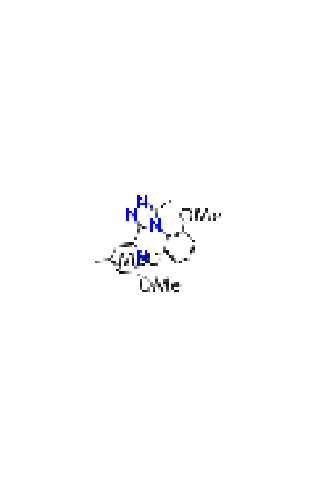 COc1cc(C)cc(-c2nnc(C)n2-c2c(OC)cccc2OC)n1